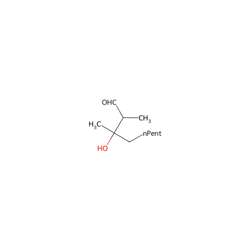 CCCCCCC(C)(O)C(C)C=O